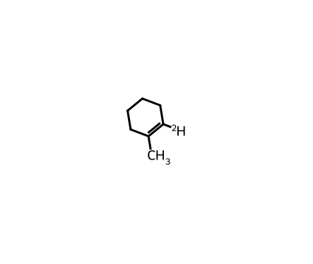 [2H]C1=C(C)CCCC1